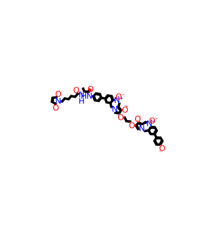 COc1ccc(C2=CC=C3C(C2)Cn2cc(OCCCOc4cn5c(c4OC)C=[N+]([O-])C4=CC=C(c6ccc(NC(=O)C(C)NC(=O)CCCCCN7C(=O)C=CC7=O)cc6)CC4C5)c(OC)c2C=[N+]3[O-])cc1